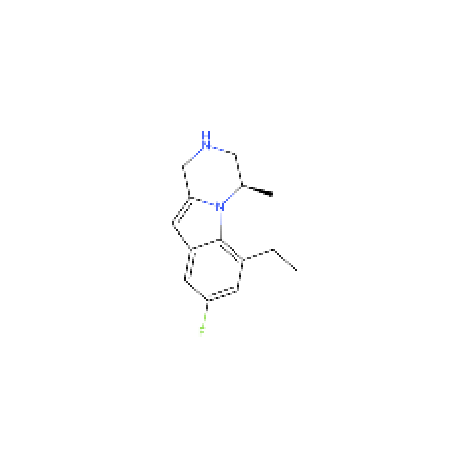 CCc1cc(F)cc2cc3n(c12)[C@H](C)CNC3